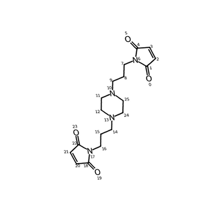 O=C1C=CC(=O)N1CCCN1CCN(CCCN2C(=O)C=CC2=O)CC1